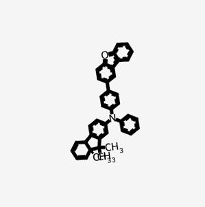 CC1(C)c2cc(N(c3ccccc3)c3ccc(-c4ccc5oc6ccccc6c5c4)cc3)ccc2C2C=CC=C[C@]21C